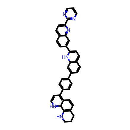 C1=CC(c2ccc(C3=CC4NC(c5ccc6ccc(-c7ncccn7)nc6c5)=CC=C4C=C3)cc2)=C2C=CC3=C(NCCC3)C2N1